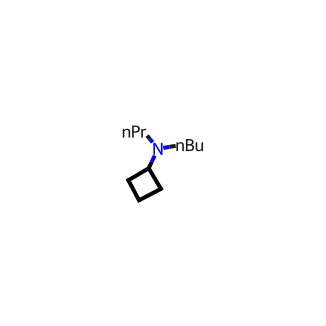 CCCCN(CCC)C1CCC1